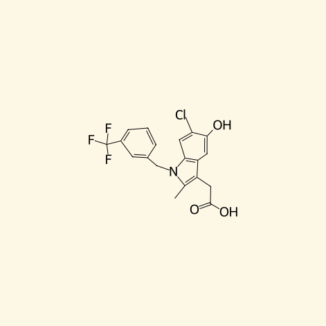 Cc1c(CC(=O)O)c2cc(O)c(Cl)cc2n1Cc1cccc(C(F)(F)F)c1